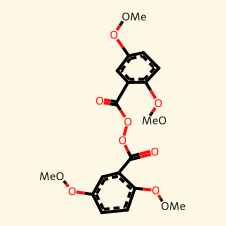 COOc1ccc(OOC)c(C(=O)OOC(=O)c2cc(OOC)ccc2OOC)c1